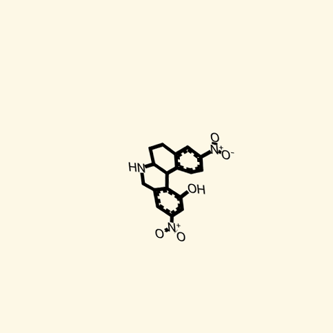 O=[N+]([O-])c1ccc2c(c1)CCC1NCc3cc([N+](=O)[O-])cc(O)c3C21